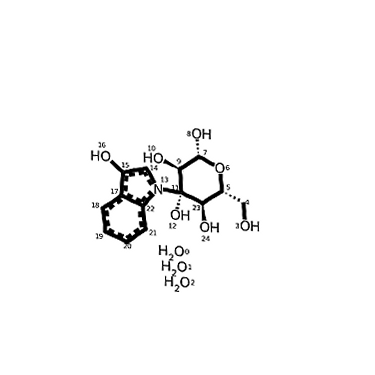 O.O.O.OC[C@H]1O[C@@H](O)[C@H](O)[C@](O)(n2cc(O)c3ccccc32)[C@@H]1O